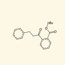 CCCCOC(=O)c1ccccc1C(=O)CCc1ccccc1